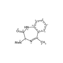 CNC1N=C(C)c2ccccc2NC1=O